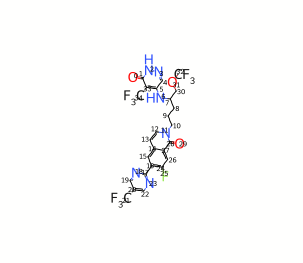 O=c1[nH]ncc(NC(CCCn2ccc3cc(-c4ncc(C(F)(F)F)cn4)c(F)cc3c2=O)COC(F)(F)F)c1C(F)(F)F